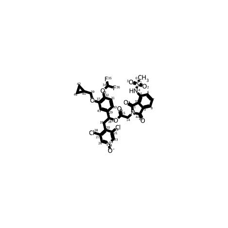 CS(=O)(=O)Nc1cccc2c1C(=O)N(CC(=O)OC(Cc1c(Cl)c[n+]([O-])cc1Cl)c1ccc(OC(F)F)c(OCC3CC3)c1)C2=O